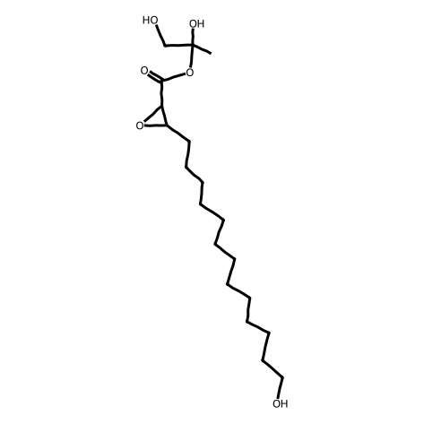 CC(O)(CO)OC(=O)C1OC1CCCCCCCCCCCCCO